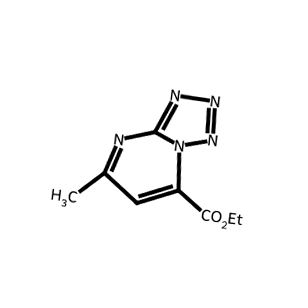 CCOC(=O)c1cc(C)nc2nnnn12